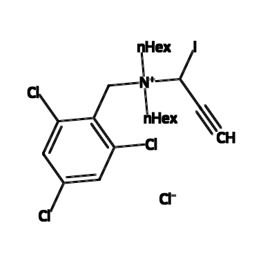 C#CC(I)[N+](CCCCCC)(CCCCCC)Cc1c(Cl)cc(Cl)cc1Cl.[Cl-]